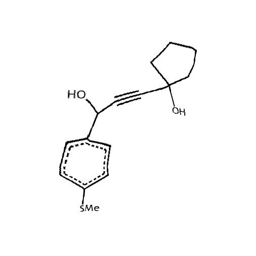 CSc1ccc(C(O)C#CC2(O)CCCC2)cc1